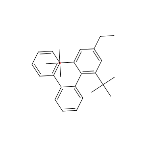 CCc1cc(C(C)(C)C)c(-c2ccccc2-c2ccccc2)c(C(C)(C)C)c1